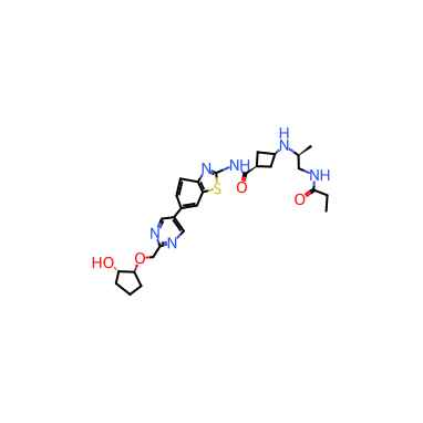 CCC(=O)NC[C@H](C)N[C@H]1C[C@@H](C(=O)Nc2nc3ccc(-c4cnc(CO[C@H]5CCC[C@@H]5O)nc4)cc3s2)C1